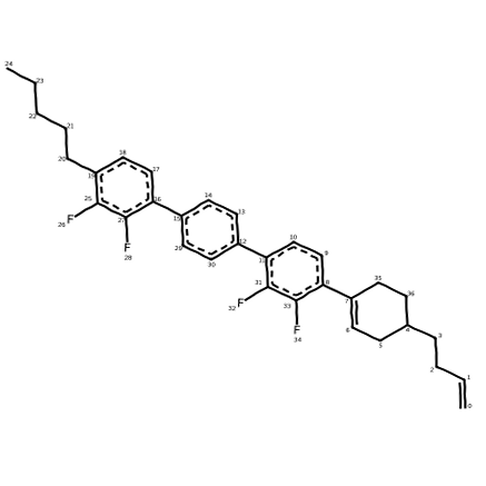 C=CCCC1CC=C(c2ccc(-c3ccc(-c4ccc(CCCCC)c(F)c4F)cc3)c(F)c2F)CC1